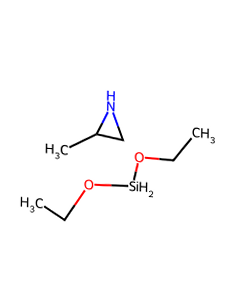 CC1CN1.CCO[SiH2]OCC